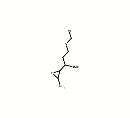 CNC(CCSCC(C)=O)C1OC1N